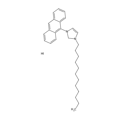 CCCCCCCCCCCCN1C=CN(c2c3ccccc3cc3ccccc23)C1.I